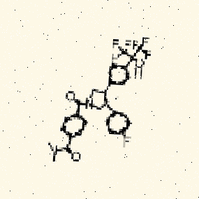 CN(C)C(=O)c1ccc(C(=O)N2C[C@@H](c3ccc(C(O)(C(F)(F)F)C(F)(F)F)cc3)[C@@](C)(c3ccc(F)cc3)C2)cc1